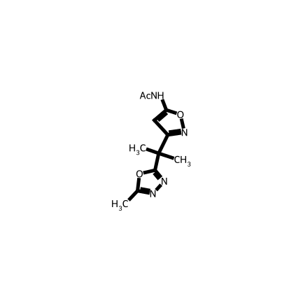 CC(=O)Nc1cc(C(C)(C)c2nnc(C)o2)no1